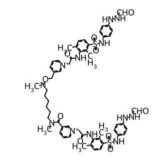 Cc1ccc(S(=O)(=O)Nc2ccc(NNC=O)cc2)c(C)c1NC(=O)C[n+]1cccc(CON(C)CCCCCCN(C)C(=O)c2ccc[n+](CC(=O)Nc3c(C)ccc(S(=O)(=O)Nc4ccc(NNC=O)cc4)c3C)c2)c1